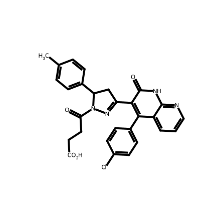 Cc1ccc(C2CC(c3c(-c4ccc(Cl)cc4)c4cccnc4[nH]c3=O)=NN2C(=O)CCC(=O)O)cc1